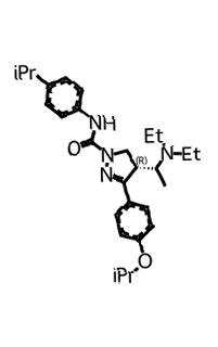 CCN(CC)C(C)[C@H]1CN(C(=O)Nc2ccc(C(C)C)cc2)N=C1c1ccc(OC(C)C)cc1